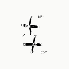 [Co+2].[Li+].[Ni+2].[O]=[Mn](=[O])([O-])[O-].[O]=[Mn](=[O])([O-])[O-]